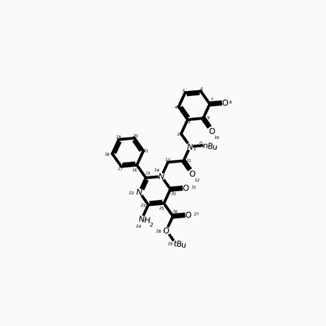 CCCCN(CC1=CC=CC(=O)C1=O)C(=O)Cn1c(-c2ccccc2)nc(N)c(C(=O)OC(C)(C)C)c1=O